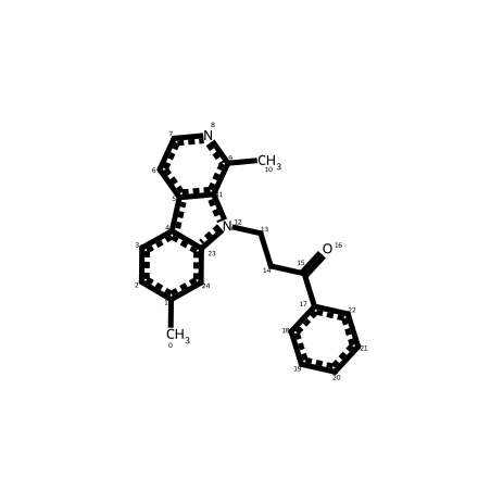 Cc1ccc2c3ccnc(C)c3n(CCC(=O)c3ccccc3)c2c1